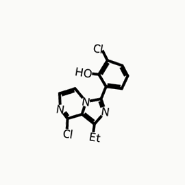 CCc1nc(-c2cccc(Cl)c2O)n2ccnc(Cl)c12